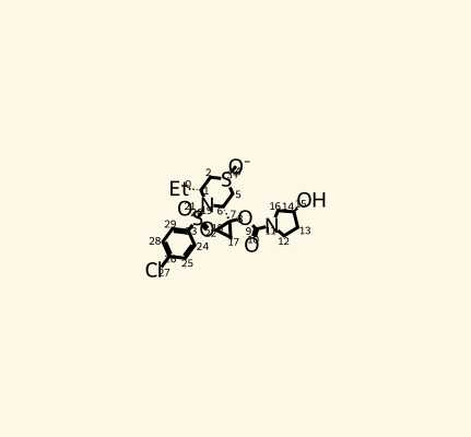 CC[C@@H]1C[S+]([O-])C[C@H](C2(OC(=O)N3CC[C@H](O)C3)CC2)N1S(=O)(=O)c1ccc(Cl)cc1